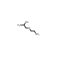 NCCOCC(N)O